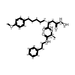 COc1ccc(CCCCC[C@H](CC(=O)NO)C(=O)N[C@@H](C)C(=O)NCCc2ccccc2)cc1